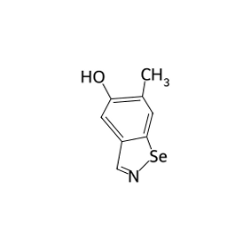 Cc1cc2[se]ncc2cc1O